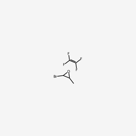 CC1OC1Br.FC(F)=C(F)F